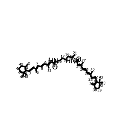 CC1=C(/C=C/C(C)=C/C=C/C(C)=C/C(=O)NCCCCC(C)NC(=O)/C=C(C)/C=C/C=C(C)/C=C/C2=C(C)CCCC2(C)C)C(C)(C)CCC1